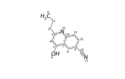 CCCc1cc(O)c2cc(C#N)ccc2n1